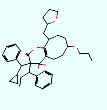 CCCOC1CCC2=C(OC(=O)C(C(CC)c3ccccc3)(C(c3ccccc3)C3CC3)C2(O)O)C(CC2CCCO2)CC1